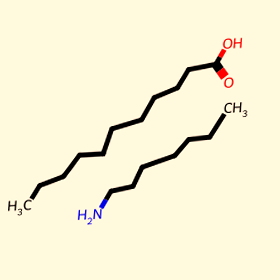 CCCCCCCCCCC(=O)O.CCCCCCCN